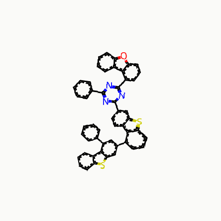 c1ccc(-c2nc(-c3ccc4c(c3)sc3cccc(-c5cc(-c6ccccc6)c6c(c5)sc5ccccc56)c34)nc(-c3cccc4oc5ccccc5c34)n2)cc1